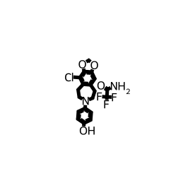 NC(=O)C(F)(F)F.Oc1ccc(N2CCc3cc4c(c(Cl)c3CC2)OCO4)cc1